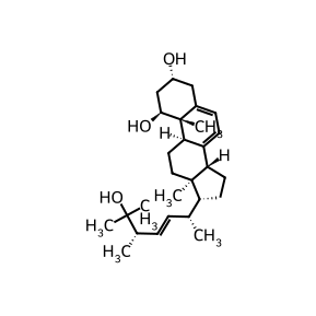 C[C@H](C=C[C@H](C)C(C)(C)O)[C@H]1CC[C@H]2C3=CC=C4C[C@@H](O)C[C@H](O)[C@@]4(C)[C@@H]3CC[C@]12C